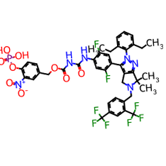 CCc1cccc(CC)c1-n1nc2c(c1-c1cc(F)c(NC(=O)NC(=O)OCc3ccc(OP(=O)(O)O)c([N+](=O)[O-])c3)cc1F)CN(Cc1ccc(C(F)(F)F)cc1C(F)(F)F)C2(C)C